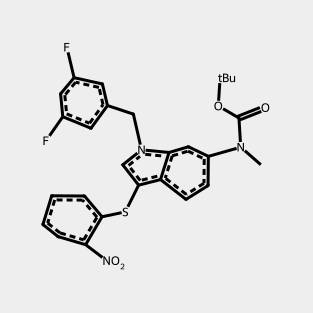 CN(C(=O)OC(C)(C)C)c1ccc2c(Sc3ccccc3[N+](=O)[O-])cn(Cc3cc(F)cc(F)c3)c2c1